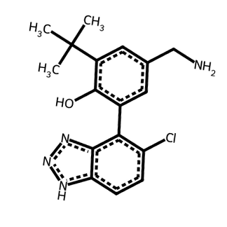 CC(C)(C)c1cc(CN)cc(-c2c(Cl)ccc3[nH]nnc23)c1O